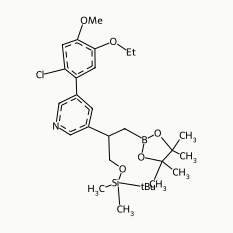 CCOc1cc(-c2cncc(C(CO[Si](C)(C)C(C)(C)C)CB3OC(C)(C)C(C)(C)O3)c2)c(Cl)cc1OC